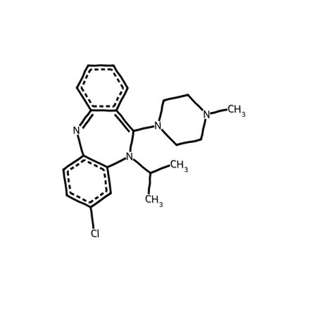 CC(C)N1C(N2CCN(C)CC2)=c2ccccc2=Nc2ccc(Cl)cc21